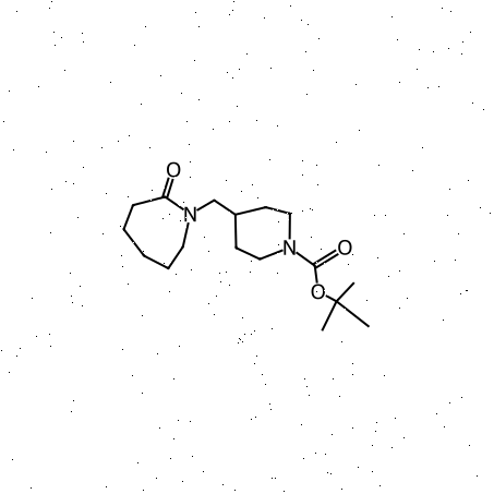 CC(C)(C)OC(=O)N1CCC(CN2CCCCCC2=O)CC1